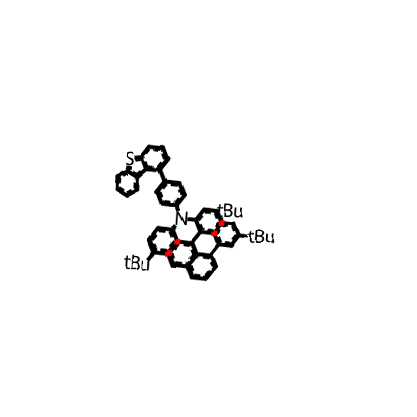 CC(C)(C)c1ccc(N(c2ccc(-c3cccc4sc5ccccc5c34)cc2)c2ccccc2-c2cccc3cccc(-c4cc(C(C)(C)C)cc(C(C)(C)C)c4)c23)cc1